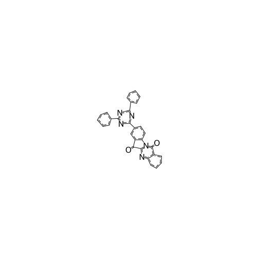 O=C1c2cc(-c3nc(-c4ccccc4)nc(-c4ccccc4)n3)ccc2-n2c1nc1ccccc1c2=O